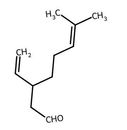 C=CC(CC=O)CCC=C(C)C